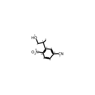 C[C](CO)c1cc(C#N)ccc1[N+](=O)[O-]